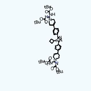 CC(C)(C)OC(=O)/N=C(/NC(=O)OC(C)(C)C)N1CC=C(c2ccc(-c3nnc(-c4ccc(C5=CCN(/C(=N/C(=O)OC(C)(C)C)NC(=O)OC(C)(C)C)CC5)cc4)n3C3CCC3)cc2)CC1